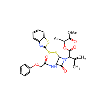 C=C(C)C(C(=O)OC(C(C)=O)C(=O)OC)N1C(=O)C(NC(=O)COc2ccccc2)C1SSc1nc2ccccc2s1